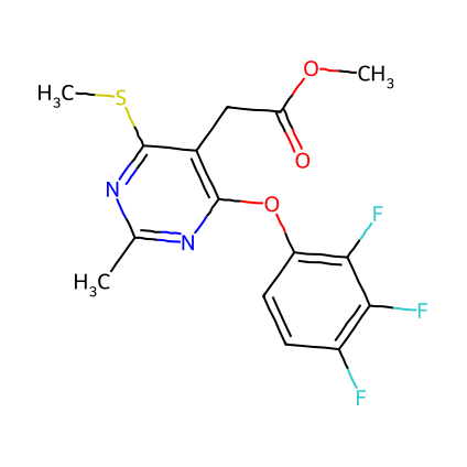 COC(=O)Cc1c(Oc2ccc(F)c(F)c2F)nc(C)nc1SC